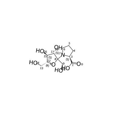 O=C(O)[C@@H]1CCCN1C1(CO)O[C@H](CO)[C@@H](O)[C@@H]1O